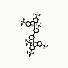 FC(F)(F)c1ccc2c(c1)c1cc(C(F)(F)F)ccc1n2-c1cc(-c2ccc(C(F)(F)F)c(-n3c4ccc(C(F)(F)F)cc4c4cc(C(F)(F)F)ccc43)c2)ccc1C(F)(F)F